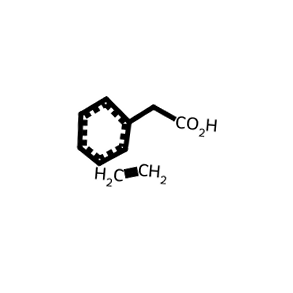 C=C.O=C(O)Cc1ccccc1